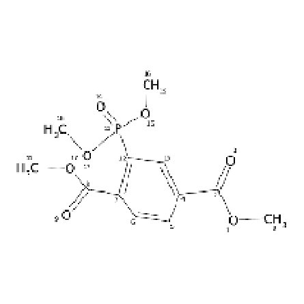 COC(=O)c1ccc(C(=O)OC)c(P(=O)(OC)OC)c1